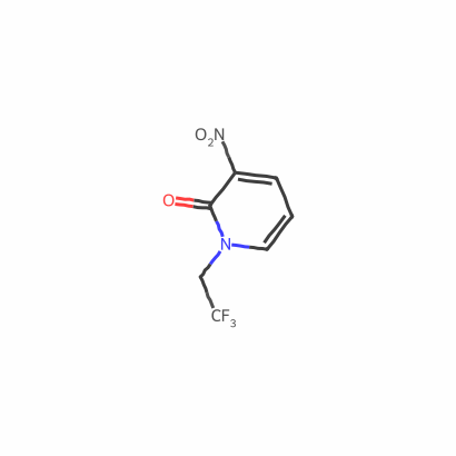 O=c1c([N+](=O)[O-])cccn1CC(F)(F)F